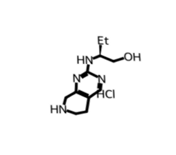 CC[C@@H](CO)Nc1ncc2c(n1)CNCC2.Cl